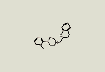 Cc1ccccc1N1CCN(CC2CCc3ccccc3O2)CC1